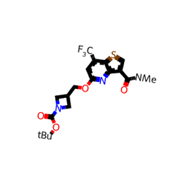 CNC(=O)c1csc2c(C(F)(F)F)cc(OCC3CN(C(=O)OC(C)(C)C)C3)nc12